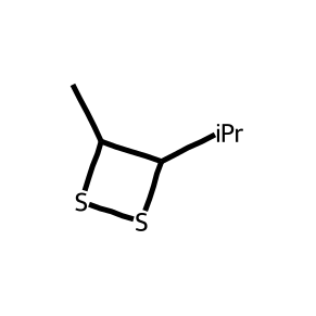 CC(C)C1SSC1C